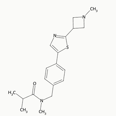 CC(C)C(=O)N(C)Cc1ccc(-c2cnc(C3CN(C)C3)s2)cc1